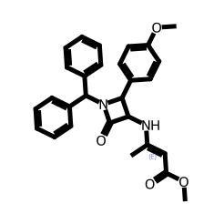 COC(=O)/C=C(\C)NC1C(=O)N(C(c2ccccc2)c2ccccc2)C1c1ccc(OC)cc1